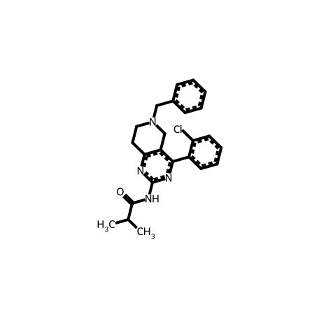 CC(C)C(=O)Nc1nc2c(c(-c3ccccc3Cl)n1)CN(Cc1ccccc1)CC2